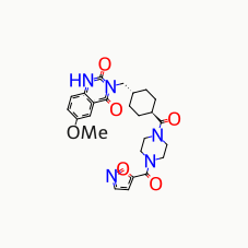 COc1ccc2[nH]c(=O)n(C[C@H]3CC[C@H](C(=O)N4CCN(C(=O)c5ccno5)CC4)CC3)c(=O)c2c1